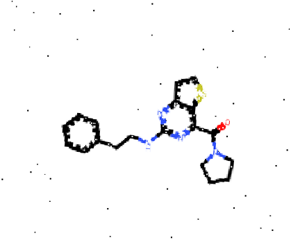 O=C(c1nc(NCCc2ccccc2)nc2ccsc12)N1CCCC1